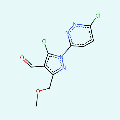 COCc1nn(-c2ccc(Cl)nn2)c(Cl)c1C=O